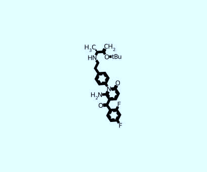 C=C(OC(C)(C)C)[C@H](C)NCCc1ccc(-n2c(N)c(C(=O)c3ccc(F)cc3F)ccc2=O)cc1